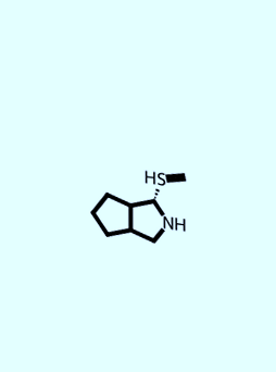 C=[SH][C@@H]1NCC2CCCC21